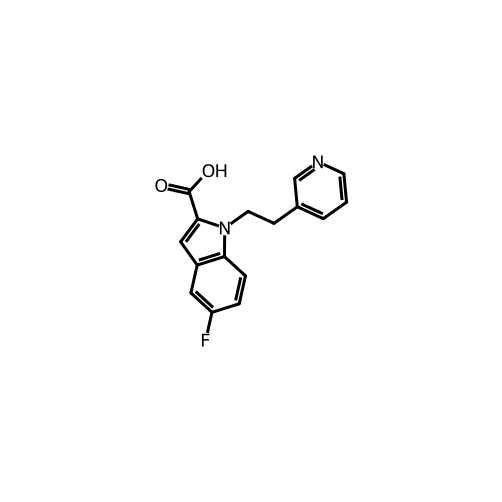 O=C(O)c1cc2cc(F)ccc2n1CCc1cccnc1